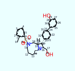 Cc1ccccc1S(=O)(=O)N1CCCCN2C(CO)[C@@H](c3ccc(-c4cccc(O)c4)cc3)[C@@H]2C1